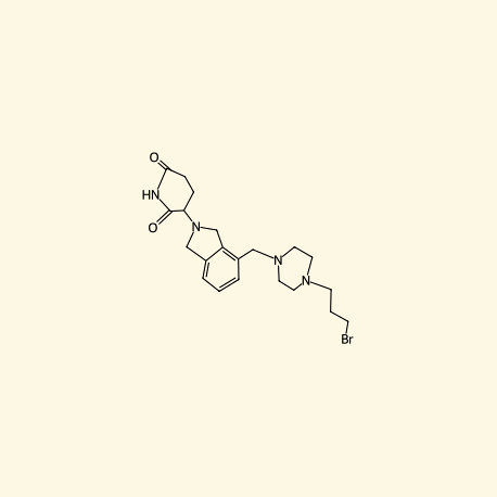 O=C1CCC(N2Cc3cccc(CN4CCN(CCCBr)CC4)c3C2)C(=O)N1